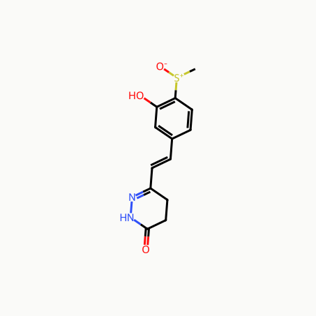 C[S+]([O-])c1ccc(C=CC2=NNC(=O)CC2)cc1O